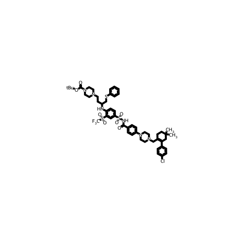 CC1(C)CCC(CN2CCN(c3ccc(C(=O)NS(=O)(=O)c4ccc(NC(CCN5CCN(C(=O)OC(C)(C)C)CC5)CSc5ccccc5)c(S(=O)(=O)C(F)(F)F)c4)cc3)CC2)=C(c2ccc(Cl)cc2)C1